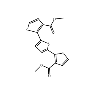 COC(=O)c1ccsc1-c1ccc(-c2sccc2C(=O)OC)s1